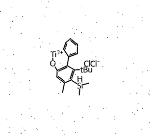 Cc1cc([O][Ti+2])c(-c2ccccc2)c(C(C)(C)C)c1[SiH](C)C.[Cl-].[Cl-]